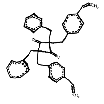 C=Cc1ccc(CC2(Cc3ccccc3)C(=O)C(Cc3ccccc3)(Cc3ccc(C=C)cc3)C2=O)cc1